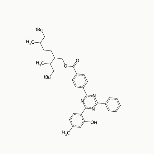 Cc1ccc(-c2nc(-c3ccccc3)nc(-c3ccc(C(=O)OCC(CCC(C)CC(C)(C)C)C(C)CC(C)(C)C)cc3)n2)c(O)c1